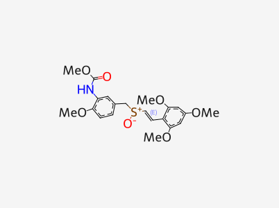 COC(=O)Nc1cc(C[S+]([O-])/C=C/c2c(OC)cc(OC)cc2OC)ccc1OC